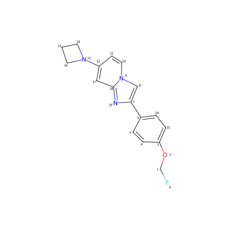 FCOc1ccc(-c2cn3ccc(N4CCC4)cc3n2)cc1